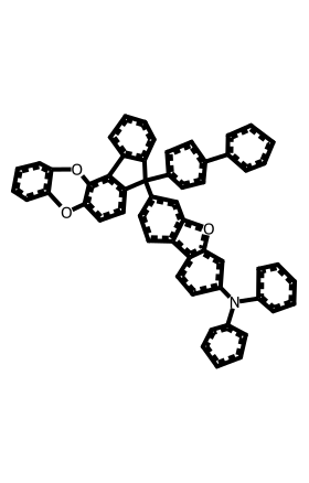 c1ccc(-c2ccc(C3(c4ccc5c(c4)oc4cc(N(c6ccccc6)c6ccccc6)ccc45)c4ccccc4-c4c3ccc3c4Oc4ccccc4O3)cc2)cc1